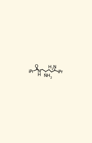 CC(C)C(=O)NC[C@@H](N)CCC(N)C(C)C